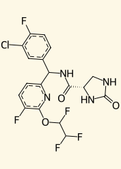 O=C1NC[C@@H](C(=O)NC(c2ccc(F)c(Cl)c2)c2ccc(F)c(OC(F)C(F)F)n2)N1